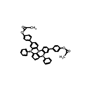 CC1OC1Oc1ccc(-c2ccc3c(c2)N(c2ccccc2)c2cccc4c2B3c2ccc(-c3ccc(OC5OC5C)cc3)cc2N4c2ccccc2)cc1